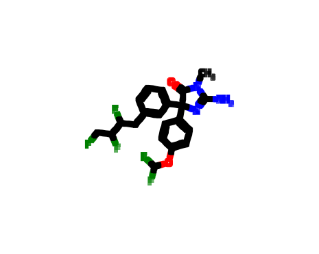 CN1C(=O)C(c2ccc(OC(F)F)cc2)(c2cccc(CC(F)C(F)CF)c2)N=C1N